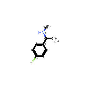 CC(C)NC(c1ccc(F)cc1)C(F)(F)F